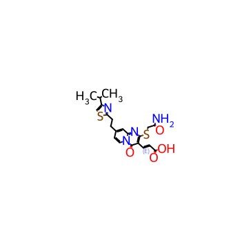 CC(C)c1csc(CCc2ccn3c(=O)c(/C=C/C(=O)O)c(SCC(N)=O)nc3c2)n1